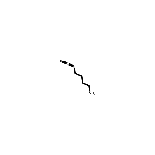 O=C=NCCCC[SiH3]